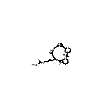 CCCCCCCC(=O)SCC/C=C/C1CC(=O)NCc2nc(cs2)C2=N[C@@](C)(CCS2)C(=O)N2CCCC[C@H]2C(=O)O1